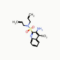 C=CCN(CC=C)S(=O)(=O)c1nc2ccccc2c([N+](=O)[O-])c1N